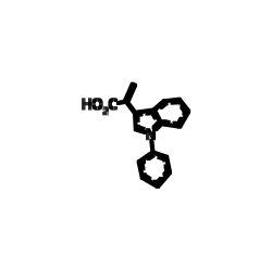 C=C(C(=O)O)c1cn(-c2ccccc2)c2ccccc12